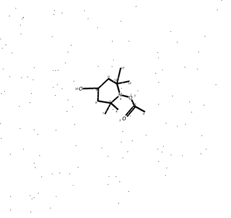 CC(=O)ON1C(C)(C)CC([O])CC1(C)C